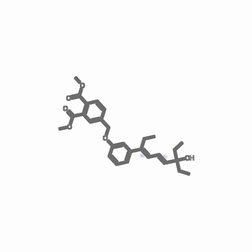 CC/C(=C\C=C\C(O)(CC)CC)c1cccc(OCc2ccc(C(=O)OC)c(C(=O)OC)c2)c1